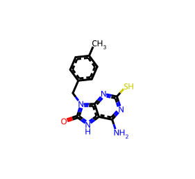 Cc1ccc(Cn2c(=O)[nH]c3c(N)nc(S)nc32)cc1